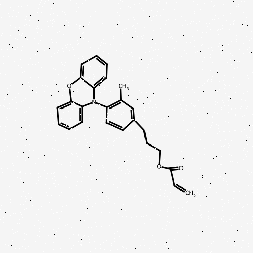 C=CC(=O)OCCCc1ccc(N2c3ccccc3Oc3ccccc32)c(C)c1